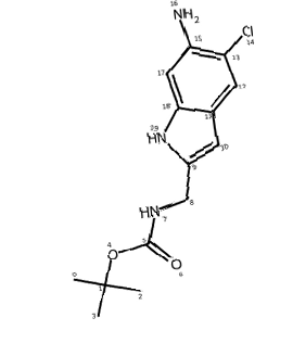 CC(C)(C)OC(=O)NCc1cc2cc(Cl)c(N)cc2[nH]1